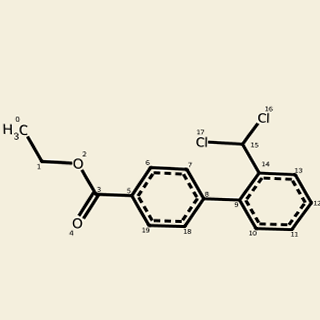 CCOC(=O)c1ccc(-c2ccccc2C(Cl)Cl)cc1